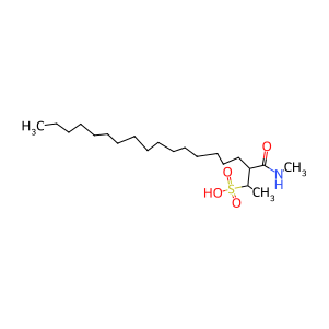 CCCCCCCCCCCCCCCCC(C(=O)NC)C(C)S(=O)(=O)O